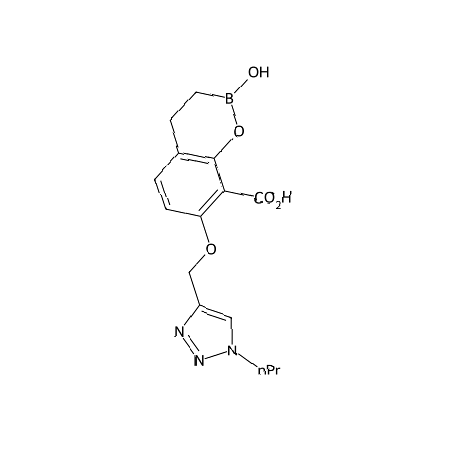 CCCn1cc(COc2ccc3c(c2C(=O)O)OB(O)CC3)nn1